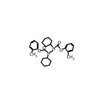 Cc1ccccc1OC(=O)N(CN(C(=O)Oc1ccccc1C)C1CCCCC1)C1CCCCC1